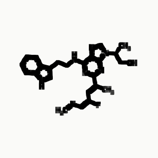 C=N/C=C(F)\C=C(/C)c1nc(NCCc2c[nH]c3ccccc23)c2ncn([C@@H](C)CO)c2n1